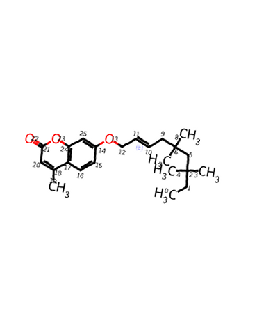 CCC(C)(C)CC(C)(C)C/C=C/COc1ccc2c(C)cc(=O)oc2c1